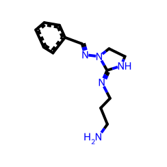 NCCC/N=C1\NCCN1/N=C/c1ccccc1